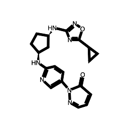 O=c1cccnn1-c1ccc(N[C@H]2CC[C@H](Nc3noc(C4CC4)n3)C2)nc1